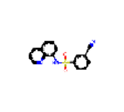 N#Cc1cccc(S(=O)(=O)Nc2cccc3cccnc23)c1